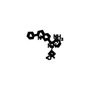 CO[C@]1(C)C[C@H](c2nc(-c3ccc4ccc(-c5ccccc5)nc4c3)c3c(N)nccn32)C1